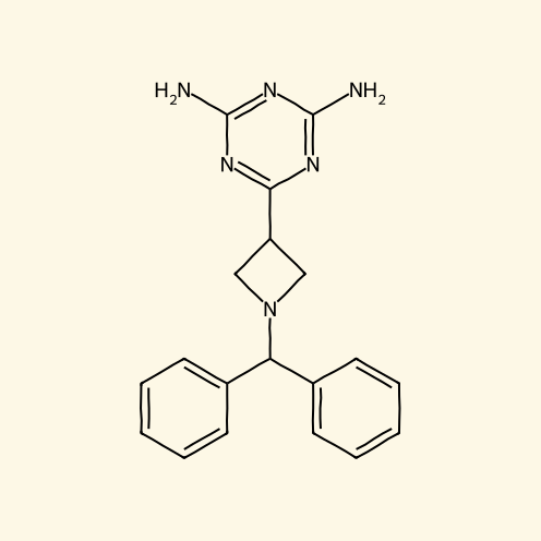 Nc1nc(N)nc(C2CN(C(c3ccccc3)c3ccccc3)C2)n1